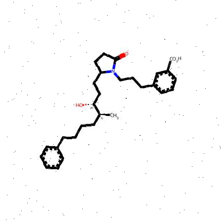 C[C@@H](CCCCc1ccccc1)[C@H](O)CCC1CCC(=O)N1CCCc1cccc(C(=O)O)c1